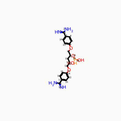 N=C(N)c1ccc(OCCCCCOc2ccc(C(=N)N)cc2)cc1.O=[PH](O)O